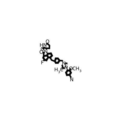 COc1cc(C#N)ccc1N1CCN(Cc2ccc(Cc3ccc4c5c(cc(F)cc35)C(=O)N4C3CCC(=O)NC3=O)cc2)C[C@@H]1C